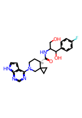 O=C(NC(CO)C(O)c1ccc(F)cc1)[C@H]1CCN(c2ncnc3[nH]ccc23)CC12CC2